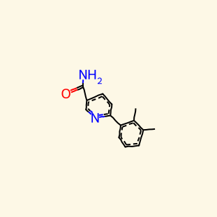 Cc1cccc(-c2ccc(C(N)=O)cn2)c1C